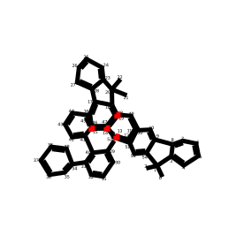 CC1(C)c2ccccc2-c2ccc(N(c3ccc4c(c3)C(C)(C)c3ccccc3-4)c3cccc(-c4ccccc4)c3-c3ccccc3-c3ccccc3)cc21